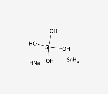 O[Si](O)(O)O.[NaH].[SnH4]